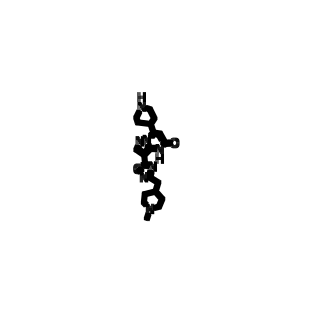 CN1CCC(Cc2noc(-c3cnn4c(C5CCNCC5)cc(=O)[nH]c34)n2)CC1